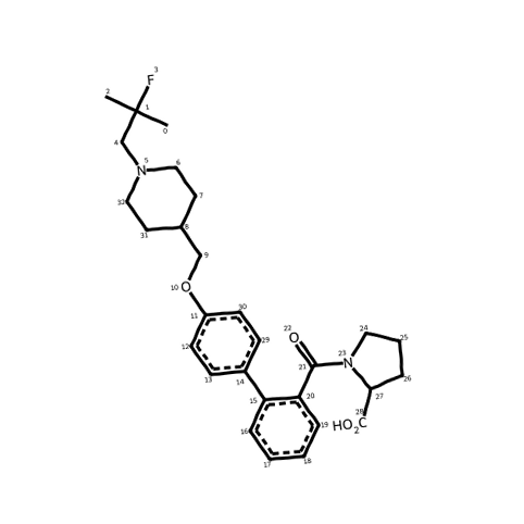 CC(C)(F)CN1CCC(COc2ccc(-c3ccccc3C(=O)N3CCCC3C(=O)O)cc2)CC1